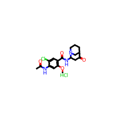 COc1cc(NC(C)=O)c(Cl)cc1C(=O)NC1CC(=O)C2CCCN1C2.Cl